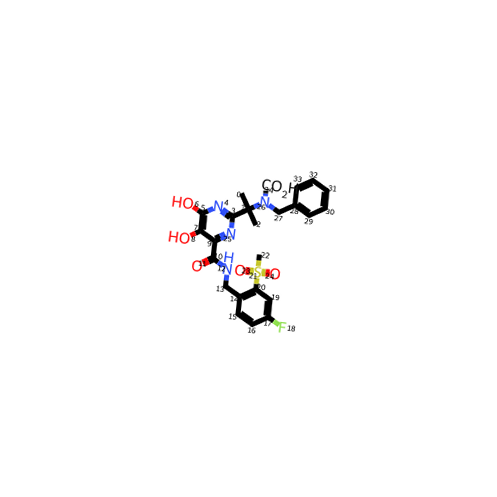 CC(C)(c1nc(O)c(O)c(C(=O)NCc2ccc(F)cc2S(C)(=O)=O)n1)N(Cc1ccccc1)C(=O)O